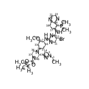 CCn1cc(-c2cc(Nc3ncc(Br)c(Nc4ccc5nccnc5c4P(C)C)n3)c(OC)cc2N2CCN(C(=O)OC(C)(C)C)CC2)cn1